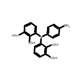 CCCCCCCCc1cccc(N(c2ccc(N)cc2)c2cccc(CCCCCCCC)c2CCCCCCCC)c1CCCCCCCC